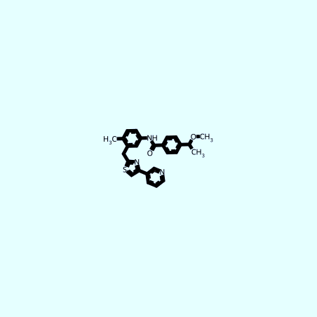 COC(C)c1ccc(C(=O)Nc2ccc(C)c(Cc3nc(-c4cccnc4)cs3)c2)cc1